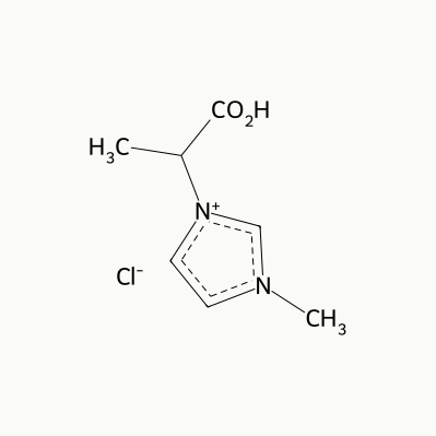 CC(C(=O)O)[n+]1ccn(C)c1.[Cl-]